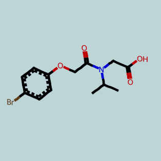 CC(C)N(CC(=O)O)C(=O)COc1ccc(Br)cc1